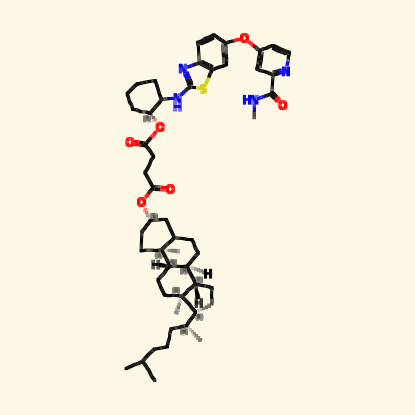 CNC(=O)c1cc(Oc2ccc3nc(NC4CCCC[C@H]4OC(=O)CCC(=O)O[C@H]4CC[C@@]5(C)C(CC[C@H]6[C@@H]7CC[C@H]([C@H](C)CCCC(C)C)[C@@]7(C)CC[C@@H]65)C4)sc3c2)ccn1